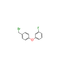 Fc1cccc(Oc2ccc(CBr)cc2)c1